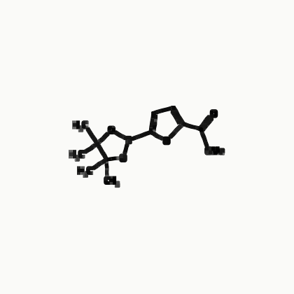 COC(=O)c1ccc(B2OC(C)(C)C(C)(C)O2)o1